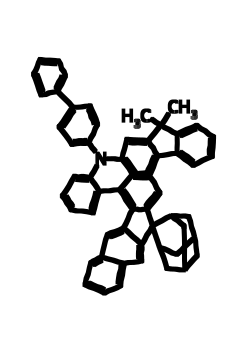 CC1(C)c2ccccc2-c2ccc(N(c3ccc(-c4ccccc4)cc3)c3ccccc3-c3cccc4c3-c3cc5ccccc5cc3C43C4CC5CC(C4)CC3C5)cc21